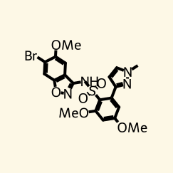 COc1cc(OC)c(S(=O)(=O)Nc2noc3cc(Br)c(OC)cc23)c(-c2ccn(C)n2)c1